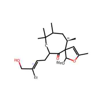 CC/C(=C\CC1CC(C)(C)C(C)C[C@@H](C)C2(C=C(C)OC2OC)C1=O)CO